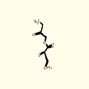 CCC(=O)COC(=O)C(=O)CC